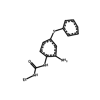 CCNC(=O)Nc1ccc(Sc2ccccc2)cc1N